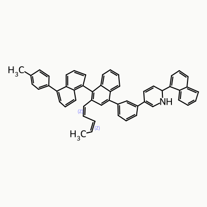 C/C=C\C=C/c1cc(-c2cccc(C3=CNC(c4cccc5ccccc45)C=C3)c2)c2ccccc2c1-c1cccc2c(-c3ccc(C)cc3)cccc12